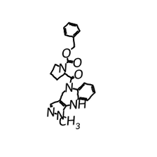 Cn1ncc2c1Nc1ccccc1N(C(=O)C1CCCN1C(=O)OCc1ccccc1)C2